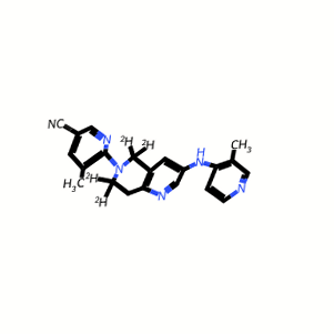 [2H]C1([2H])Cc2ncc(Nc3ccncc3C)cc2C([2H])([2H])N1c1ncc(C#N)cc1C